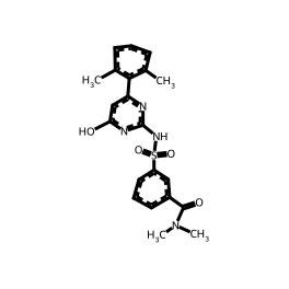 Cc1cccc(C)c1-c1cc(O)nc(NS(=O)(=O)c2cccc(C(=O)N(C)C)c2)n1